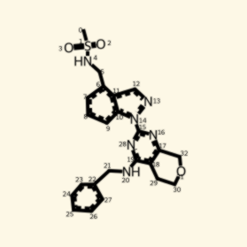 CS(=O)(=O)NCc1cccc2c1cnn2-c1nc2c(c(NCc3ccccc3)n1)CCOC2